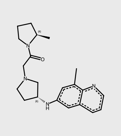 Cc1cc(N[C@@H]2CCN(CC(=O)N3CCC[C@H]3C)C2)cc2cccnc12